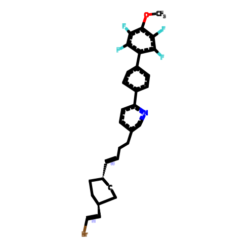 Fc1c(F)c(-c2ccc(-c3ccc(CC/C=C/[C@H]4CC[C@H](/C=C/Br)CC4)cn3)cc2)c(F)c(F)c1OC(F)(F)F